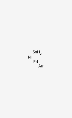 [Au].[Ni].[Pd].[SnH2]